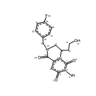 CC(C)n1c(=O)[c]c2n(c1=O)C(CCO)CN(Cc1ccc(F)cc1)C2=O